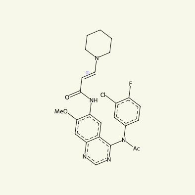 COc1cc2ncnc(N(C(C)=O)c3ccc(F)c(Cl)c3)c2cc1NC(=O)/C=C/N1CCCCC1